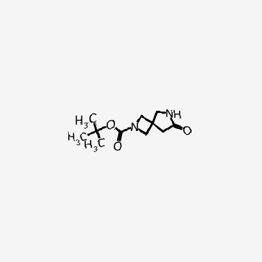 CC(C)(C)OC(=O)N1CC2(CNC(=O)C2)C1